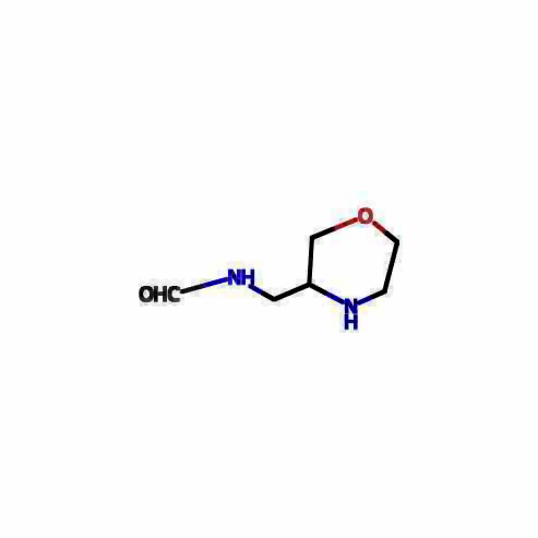 O=CNCC1COCCN1